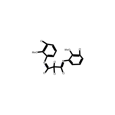 COc1c(Cl)cccc1/N=C(\Cl)C(Cl)(Cl)/C(Cl)=N\c1cccc(Cl)c1OC